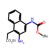 CCOC(=O)Cc1c(N)cc(NC(=O)OC(C)(C)C)c2ccccc12